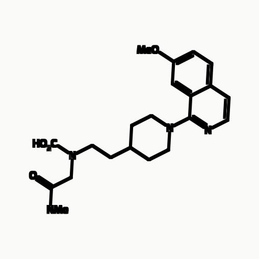 CNC(=O)CN(CCC1CCN(c2nccc3ccc(OC)cc23)CC1)C(=O)O